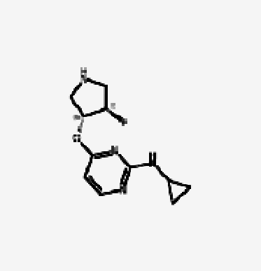 F[C@@H]1CNC[C@H]1Oc1ccnc(NC2CC2)n1